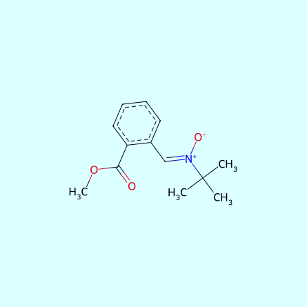 COC(=O)c1ccccc1C=[N+]([O-])C(C)(C)C